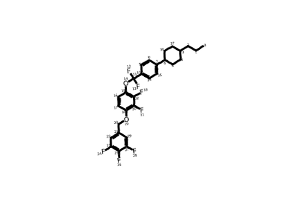 CCCC1CCC(c2ccc(C(F)(F)Oc3ccc(OCc4cc(F)c(F)c(F)c4)c(F)c3F)cc2)CC1